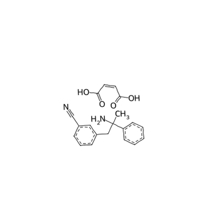 CC(N)(Cc1cccc(C#N)c1)c1ccccc1.O=C(O)/C=C\C(=O)O